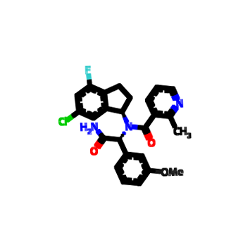 COc1cccc([C@H](C(N)=O)N(C(=O)c2cccnc2C)[C@@H]2CCc3c(F)cc(Cl)cc32)c1